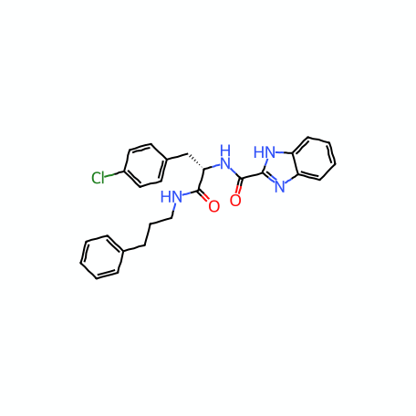 O=C(N[C@@H](Cc1ccc(Cl)cc1)C(=O)NCCCc1ccccc1)c1nc2ccccc2[nH]1